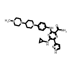 CN1CCN(C2CCN(c3ccc(Nc4nc(NC5CC5)c(-c5cc[nH]n5)nc4C(N)=O)cc3)CC2)CC1